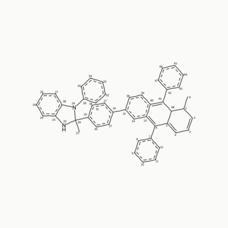 CC1C=CC=C2C(c3ccccc3)=c3cc(-c4ccc(C5(C)Nc6ccccc6N5c5ccccc5)cc4)ccc3=C(c3ccccc3)C21